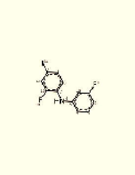 Fc1cc[c]c(Nc2ccc(I)cc2F)c1